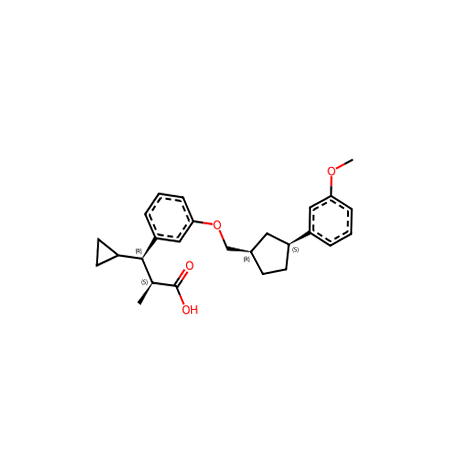 COc1cccc([C@H]2CC[C@@H](COc3cccc([C@H](C4CC4)[C@H](C)C(=O)O)c3)C2)c1